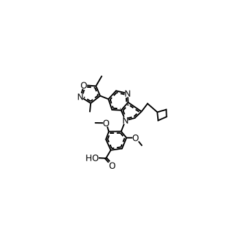 COc1cc(C(=O)O)cc(OC)c1-n1cc(CC2CCC2)c2ncc(-c3c(C)noc3C)cc21